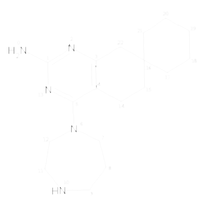 Nc1nc2c(c(N3CCCNCC3)n1)CCC1(CCCCC1)C2